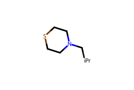 [CH2]C(C)CN1CCSCC1